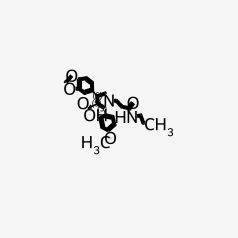 CCCNC(=O)CCN1C[C@H](c2ccc3c(c2)OCO3)[C@H](C(=O)O)[C@H]1c1ccc(OC)cc1